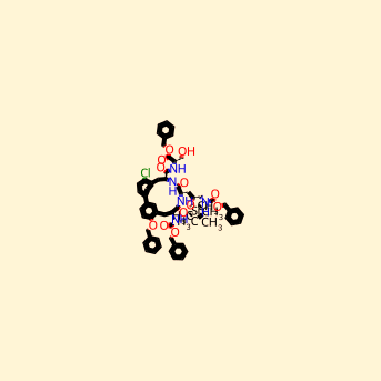 CC(C)(C)[Si](C)(C)O[C@@H](CNC(=O)OCc1ccccc1)C[C@@H]1NC(=O)[C@@H](NC(=O)OCc2ccccc2)Cc2cc(ccc2OCc2ccccc2)-c2ccc(Cl)c(c2)C[C@@H](C(=O)N[C@@H](CO)C(=O)OCc2ccccc2)NC1=O